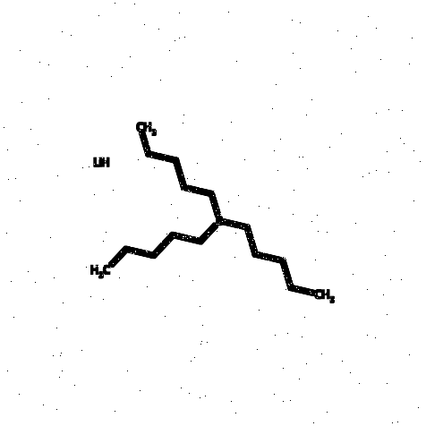 CCCCCB(CCCCC)CCCCC.[LiH]